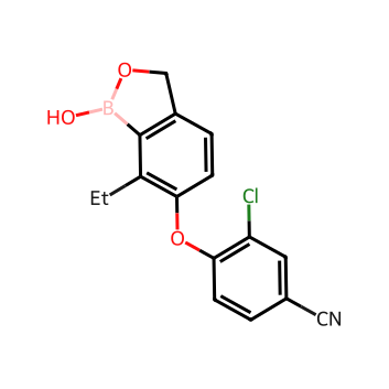 CCc1c(Oc2ccc(C#N)cc2Cl)ccc2c1B(O)OC2